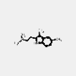 [CH2]c1c(CCN(C)C)[nH]c2ccc(C)cc12